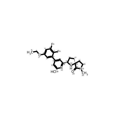 CCOc1cc(F)c(F)c(-c2ccnc([C@H]3CC[C@@]4(CCN(C)C4=O)N3)c2)c1.Cl